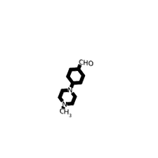 CN1CCN(C2CCC(C=O)CC2)CC1